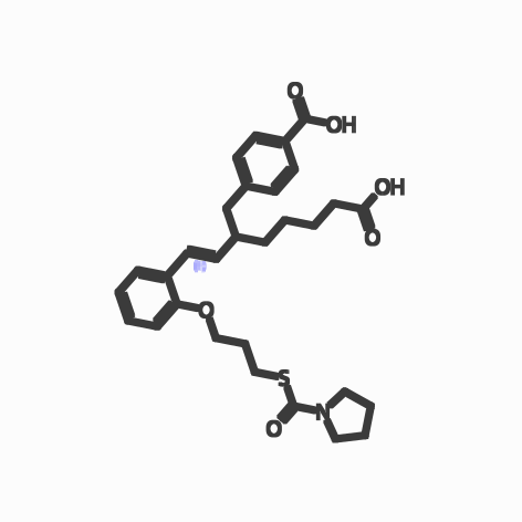 O=C(O)CCCCC(/C=C/c1ccccc1OCCCSC(=O)N1CCCC1)Cc1ccc(C(=O)O)cc1